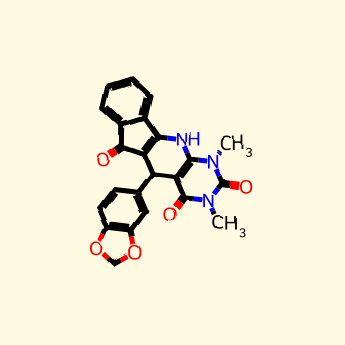 Cn1c2c(c(=O)n(C)c1=O)C(c1ccc3c(c1)OCO3)C1=C(N2)c2ccccc2C1=O